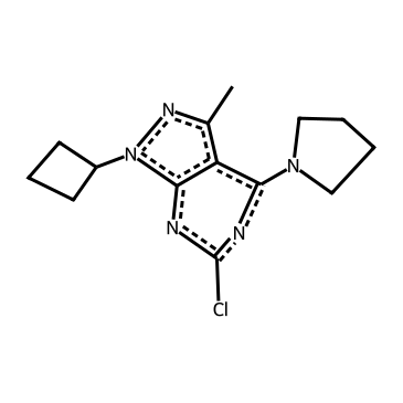 Cc1nn(C2CCC2)c2nc(Cl)nc(N3CCCC3)c12